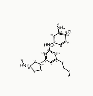 CCCCc1cc(N2CC[C@H](NC)C2)nc(Nc2ccc(Cl)c(N)c2)n1